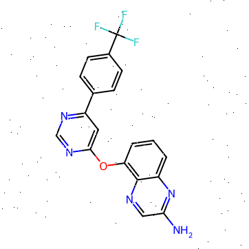 Nc1cnc2c(Oc3cc(-c4ccc(C(F)(F)F)cc4)ncn3)cccc2n1